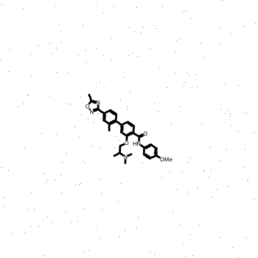 COc1ccc(NC(=O)c2ccc(-c3ccc(-c4noc(C)n4)cc3C)cc2OCC(C)N(C)C)cc1